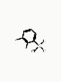 Fc1cccc([Si](Cl)(Cl)Cl)c1F